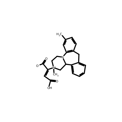 Cc1ccc2c(c1)N1CC[N+](C)(/C(=C\C(=O)O)C(=O)[O-])CC1c1ccccc1C2